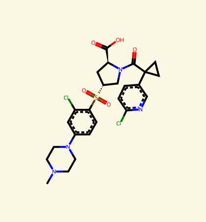 CN1CCN(c2ccc(S(=O)(=O)[C@@H]3C[C@@H](C(=O)O)N(C(=O)C4(c5ccc(Cl)nc5)CC4)C3)c(Cl)c2)CC1